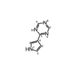 [c]1[nH]ccc1-c1ncncn1